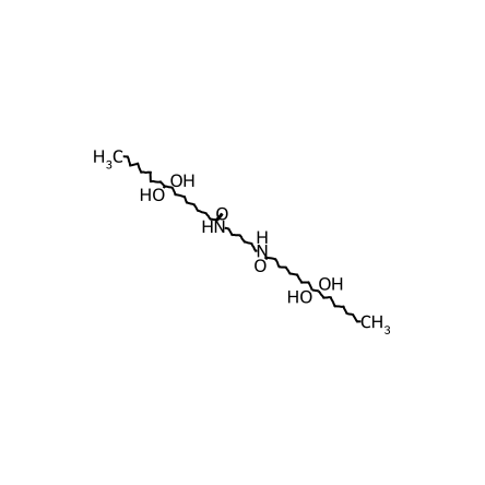 CCCCCCCCC(O)C(O)CCCCCCCC(=O)NCCCCCCNC(=O)CCCCCCCC(O)C(O)CCCCCCCC